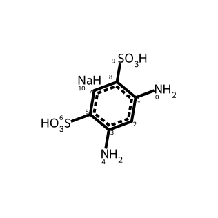 Nc1cc(N)c(S(=O)(=O)O)cc1S(=O)(=O)O.[NaH]